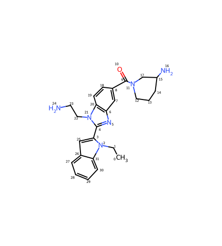 CCn1c(-c2nc3cc(C(=O)N4CCCC(N)C4)ccc3n2CCN)cc2ccccc21